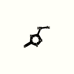 CC(=O)Nc1nc(=S)ss1